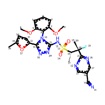 COc1cccc(OC)c1-n1c(NS(=O)(=O)[C@@H](C)[C@](C)(F)c2ncc(C#N)cn2)nnc1-c1ccc(C)o1